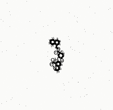 C[C@]1(C(=O)OCc2cccc3ccccc23)CC[C@@H](Oc2cc(C(=O)O)c3ncccc3c2)CC1